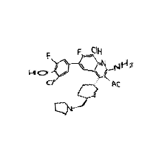 CC(=O)c1c(N)nc2cc(F)c(-c3cc(F)c(O)c(Cl)c3)cc2c1[C@H]1CC[C@H](CN2CCCC2)CC1.Cl